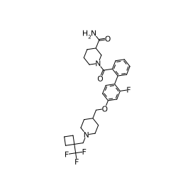 NC(=O)C1CCCN(C(=O)c2ccccc2-c2ccc(OCC3CCN(CC4(C(F)(F)F)CCC4)CC3)cc2F)C1